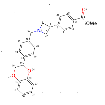 COC(=O)c1ccc(C2CN(Cc3ccc(C4COc5ccccc5O4)cc3)C2)cc1